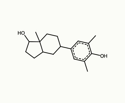 Cc1cc(C2CCC3(C)C(O)CCC3C2)cc(C)c1O